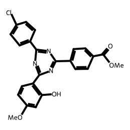 COC(=O)c1ccc(-c2nc(-c3ccc(Cl)cc3)nc(-c3ccc(OC)cc3O)n2)cc1